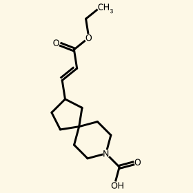 CCOC(=O)C=CC1CCC2(CCN(C(=O)O)CC2)C1